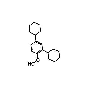 N#COc1ccc(C2CCCCC2)cc1C1CCCCC1